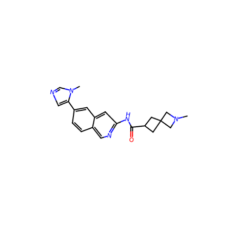 CN1CC2(CC(C(=O)Nc3cc4cc(-c5cncn5C)ccc4cn3)C2)C1